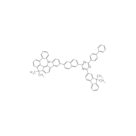 CC1(C)c2ccccc2-c2ccc(-c3nc(-c4ccc(-c5ccccc5)cc4)nc(-c4ccc5cc(-c6ccc7c(c6)c6ccc8c9c6n7-c6ccccc6-c6cccc(c6-9)C8(C)C)ccc5c4)n3)cc21